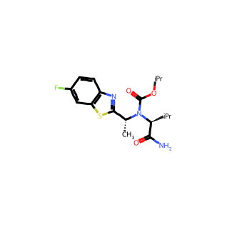 CC(C)OC(=O)N([C@H](C)c1nc2ccc(F)cc2s1)[C@H](C(N)=O)C(C)C